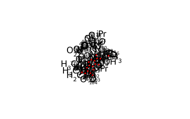 C=C/C=C(Cl)\C=C\C[C@@H](C(=O)N[C@@H](CC(C)C)C(=O)N(C)[C@@H](CCC1C2=C3CCC(=C1CC2)C3)C(=O)N(C)[C@@H](CC(C)C)C(=O)S(=O)(=O)c1ccc([N+](=O)[O-])cc1)N(C)C(=O)[C@H](CC(C)C)N(C)C(=O)[C@H](COCCO)NC(=O)[C@H](C)N(C)C(=O)CC(NC(=O)[C@H](CC(C)C)N(C)C(=O)CN(CCC)C(=O)CC(C)O)C(=O)N1CCCCC1